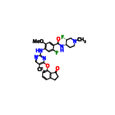 COc1cc(C(=O)N[C@H]2CCN(C)C[C@H]2F)c(F)cc1Nc1ncc(C(F)(F)F)c(Oc2cccc3c2C(=O)CC3)n1